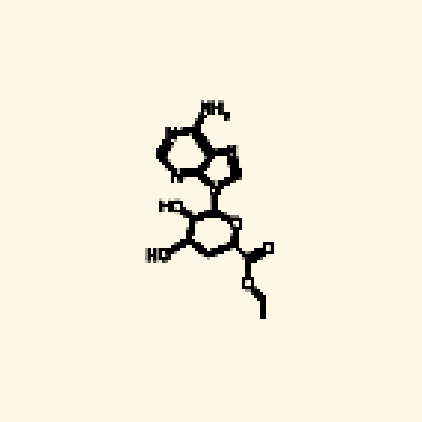 CCOC(=O)[C@@H]1CC(O)C(O)C(n2cnc3c(N)ncnc32)O1